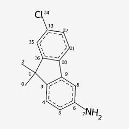 CC1(C)c2ccc(N)cc2-c2ccc(Cl)cc21